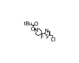 CC(C)(C)C(=O)ON1CCC(F)(c2ncc(CCl)s2)CC1